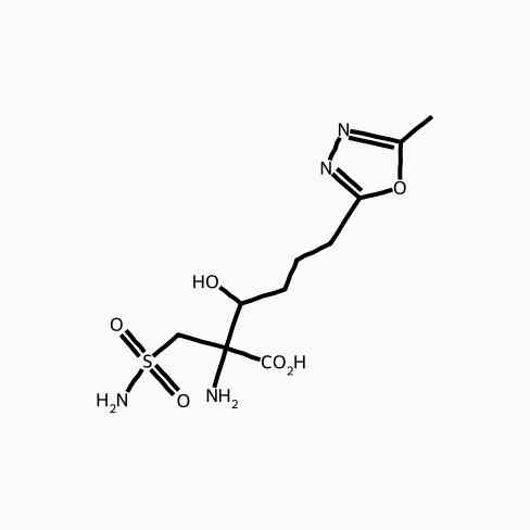 Cc1nnc(CCCC(O)C(N)(CS(N)(=O)=O)C(=O)O)o1